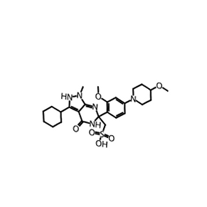 COc1cc(N2CCC(OC)CC2)ccc1C1(CS(=O)(=O)O)N=C2C(=C(C3CCCCC3)NN2C)C(=O)N1